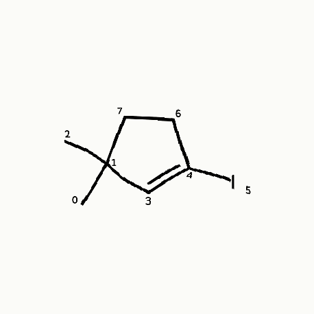 CC1(C)C=C(I)CC1